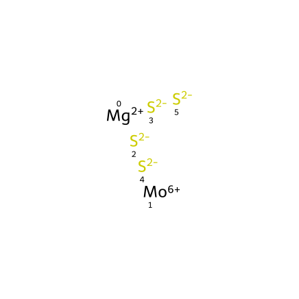 [Mg+2].[Mo+6].[S-2].[S-2].[S-2].[S-2]